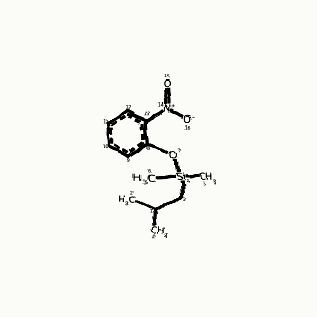 CC(C)C[Si](C)(C)Oc1cc[c]cc1[N+](=O)[O-]